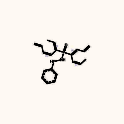 C=C/C=C\C(=C/C)P(=O)(NPc1ccccc1)C(/C=C\C)=C/C=C